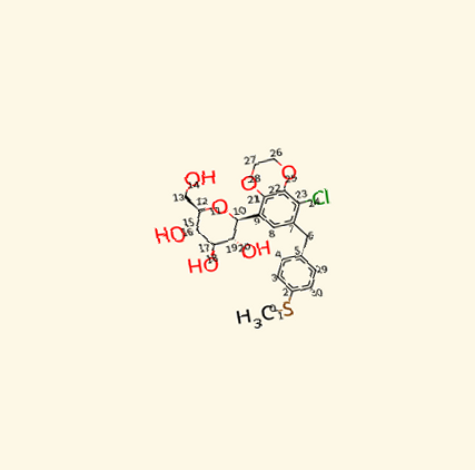 CSc1ccc(Cc2cc([C@@H]3O[C@H](CO)[C@@H](O)[C@H](O)[C@H]3O)c3c(c2Cl)OCCO3)cc1